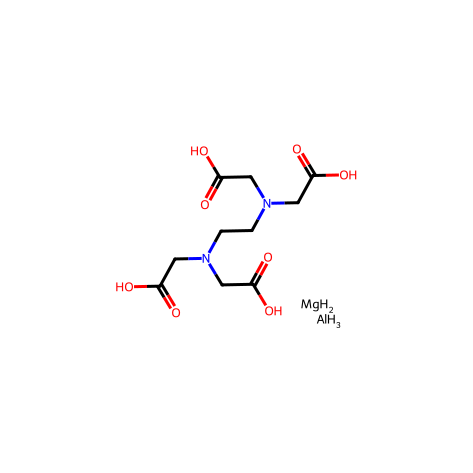 O=C(O)CN(CCN(CC(=O)O)CC(=O)O)CC(=O)O.[AlH3].[MgH2]